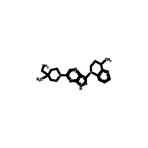 CC1CCN(c2n[nH]c3nc(N4CCC(C)(CN)CC4)cnc23)c2cccnc21